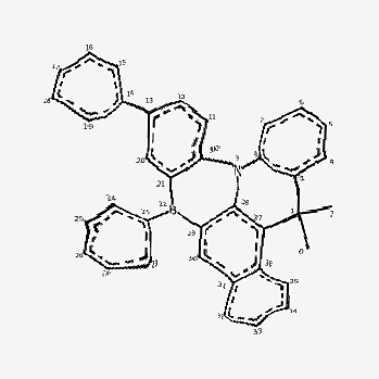 CC1(C)c2ccccc2N2c3ccc(-c4ccccc4)cc3B(c3ccccc3)c3cc4ccccc4c1c32